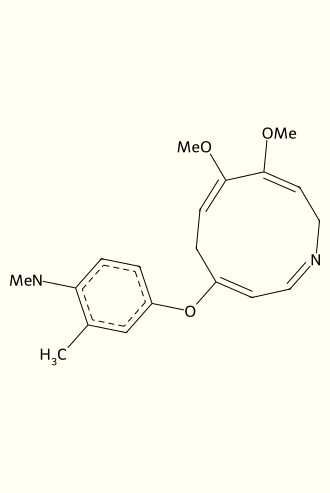 CNc1ccc(O/C2=C/C=N\C/C=C(OC)\C(OC)=C/C2)cc1C